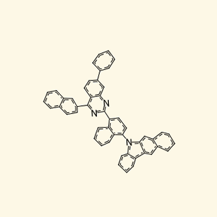 c1ccc(-c2ccc3c(-c4ccc5ccccc5c4)nc(-c4ccc(-n5c6ccccc6c6cc7ccccc7cc65)c5ccccc45)nc3c2)cc1